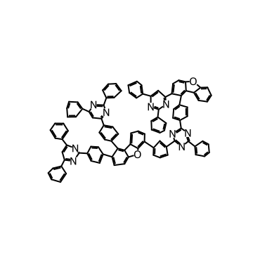 c1ccc(-c2cc(-c3ccc(-c4c(-c5ccc(-c6nc(-c7ccccc7)cc(-c7ccccc7)n6)cc5)ccc5oc6c(-c7cccc(-c8nc(-c9ccccc9)nc(-c9ccc(-c%10c(-c%11cc(-c%12ccccc%12)nc(-c%12ccccc%12)n%11)ccc%11oc%12ccccc%12c%10%11)cc9)n8)c7)cccc6c45)cc3)nc(-c3ccccc3)n2)cc1